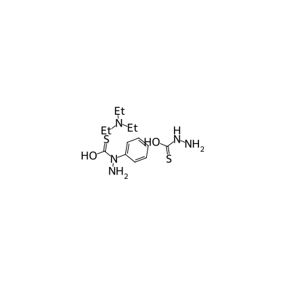 CCN(CC)CC.NN(C(O)=S)c1ccccc1.NNC(O)=S